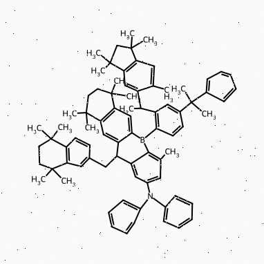 Cc1cc2c(cc1C(C)c1cc(C(C)(C)c3ccccc3)ccc1B1c3cc4c(cc3C(Cc3ccc5c(c3)C(C)(C)CCC5(C)C)c3cc(N(c5ccccc5)c5ccccc5)cc(C)c31)C(C)(C)CCC4(C)C)C(C)(C)CC2(C)C